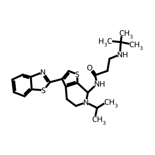 CC(C)N1CCc2c(-c3nc4ccccc4s3)csc2C1NC(=O)CCNC(C)(C)C